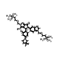 CC(C)c1c2c(nn1COCC[Si](C)(C)C)C(=O)N(c1ccc3c(c1)ncn3COCC[Si](C)(C)C)C2c1ccc(N2CCC(F)(F)C2)cc1F